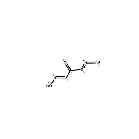 O=C(C=NO)N=NO